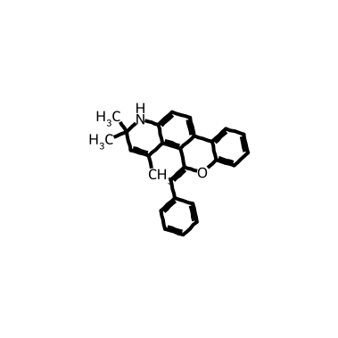 CC1=CC(C)(C)Nc2ccc3c(c21)C(=Cc1ccccc1)Oc1ccccc1-3